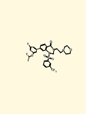 O=C1c2ccc(-c3cc(F)cc(OC(F)F)c3)cc2N(S(=O)(=O)c2cccc(C(F)(F)F)c2)CN1CCN1CCOCC1